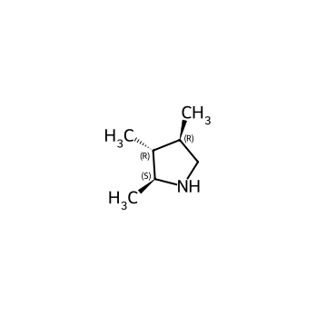 C[C@H]1[C@H](C)NC[C@@H]1C